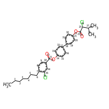 CCCCCCCc1ccc(C(=O)Oc2ccc(-c3ccc(OC(=O)C(Cl)C(C)C)cc3)cc2)cc1Cl